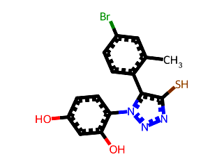 Cc1cc(Br)ccc1-c1c(S)nnn1-c1ccc(O)cc1O